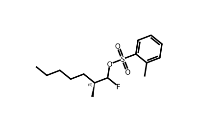 CCCCC[C@H](C)C(F)OS(=O)(=O)c1ccccc1C